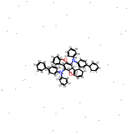 C1=CCC(c2ccc(N(C3=c4oc5ccccc5c4=C(N(c4ccccc4)c4ccc(-c5ccccc5)cc4)C4OC5=C(CCC=C5)C34)c3ccccc3)cc2)C=C1